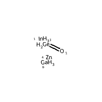 [GaH3].[InH3].[O]=[GeH2].[Zn]